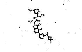 Cc1cccc([C@@H](CO)NC(=O)[C@@H](C)N2Cc3ccc(-c4ccnc(NC5CC(F)(F)C5)c4)c(F)c3C2=O)c1